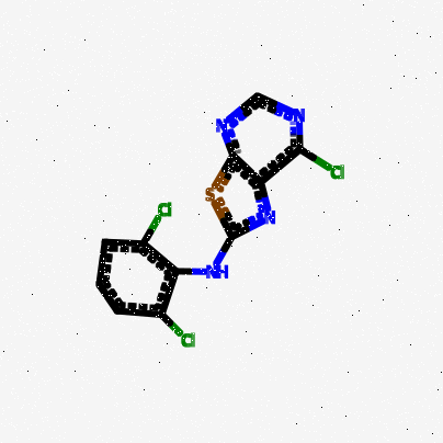 Clc1cccc(Cl)c1Nc1nc2c(Cl)ncnc2s1